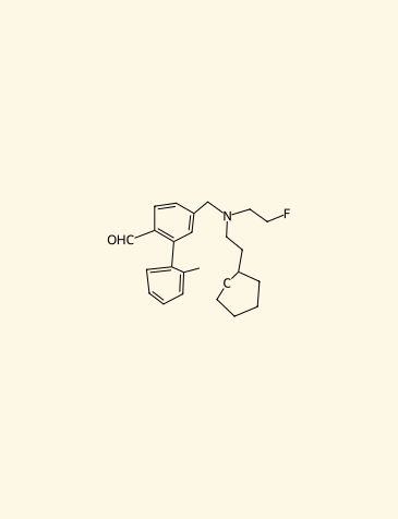 Cc1ccccc1-c1cc(CN(CCF)CCC2CCCCC2)ccc1C=O